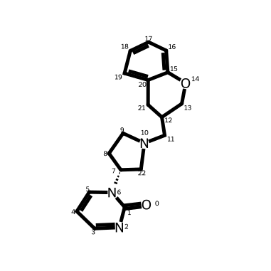 O=c1ncccn1[C@@H]1CCN(CC2COc3ccccc3C2)C1